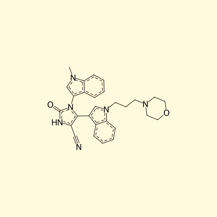 Cn1cc(-n2c(-c3cn(CCCN4CCOCC4)c4ccccc34)c(C#N)[nH]c2=O)c2ccccc21